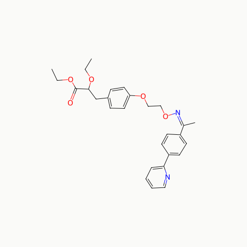 CCOC(=O)C(Cc1ccc(OCCON=C(C)c2ccc(-c3ccccn3)cc2)cc1)OCC